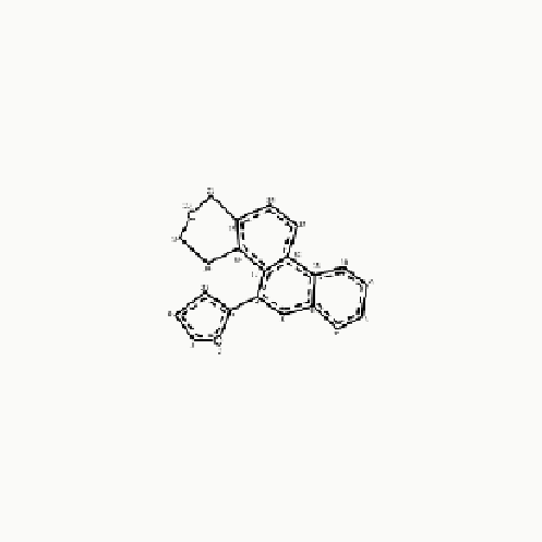 c1coc(-c2cc3ccccc3c3ccc4c(c23)CCCC4)c1